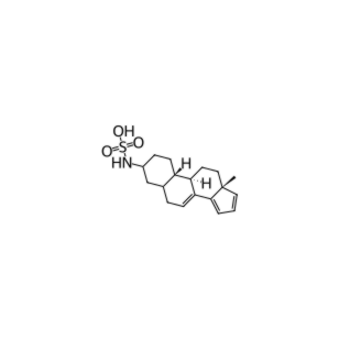 C[C@@]12C=CC=C1C1=CCC3CC(NS(=O)(=O)O)CC[C@@H]3[C@H]1CC2